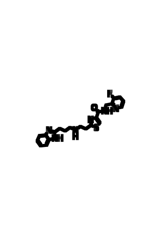 O=C(NCc1ncccc1F)c1csc(CCNCCCc2nc3ccccc3[nH]2)n1